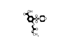 COC(=O)CSc1ccc(C(=O)O)cc1S(=O)(=O)N1CCOCC1